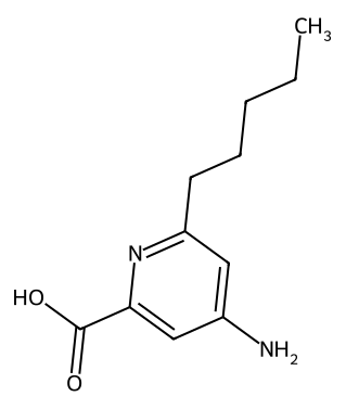 CCCCCc1cc(N)cc(C(=O)O)n1